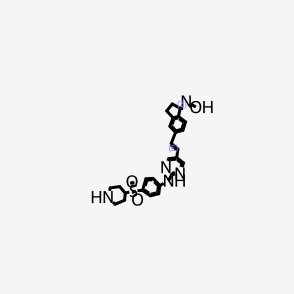 O=S(=O)(c1ccc(Nc2ncc(/C=C/c3ccc4c(c3)CC/C4=N/O)cn2)cc1)C1CCNCC1